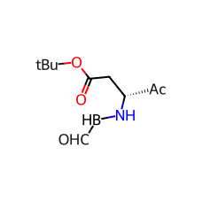 CC(=O)[C@@H](CC(=O)OC(C)(C)C)NBC=O